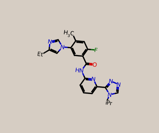 CCc1cn(-c2cc(C(=O)Nc3cccc(-c4nncn4C(C)C)n3)c(F)cc2C)cn1